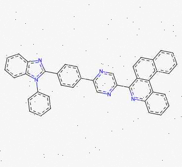 c1ccc(-n2c(-c3ccc(-c4cnc(-c5nc6ccccc6c6c5ccc5ccccc56)cn4)cc3)nc3ccccc32)cc1